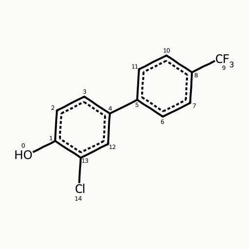 Oc1ccc(-c2ccc(C(F)(F)F)cc2)cc1Cl